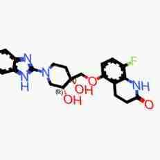 O=C1CCc2c(OC[C@]3(O)CCN(c4nc5ccccc5[nH]4)C[C@H]3O)ccc(F)c2N1